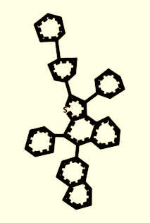 c1ccc(-c2ccc(-c3sc4c(-c5ccccc5)c(-c5ccc6ccccc6c5)c5ccccc5c4c3-c3ccccc3)cc2)cc1